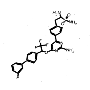 Nc1nc(OC(c2ccc(-c3cccc(F)c3)cc2)C(F)(F)F)cc(-c2ccc(CC(N)S(N)(=O)=O)cc2)n1